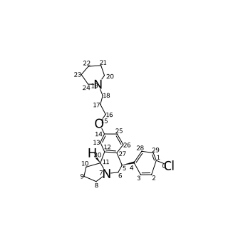 Clc1ccc([C@H]2CN3CCC[C@@H]3c3cc(OCCCN4CCCCC4)ccc32)cc1